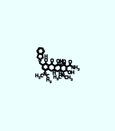 CN(C)c1cc(CN2Cc3ccccc3C2)c(O)c2c1C[C@H]1C[C@H]3[C@H](N(C)C)C(O)=C(C(N)=O)C(=O)[C@@]3(O)C(O)=C1C2=O